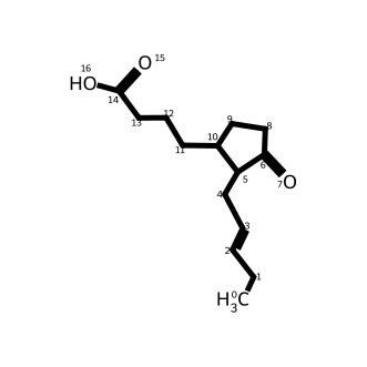 CCC=CCC1C(=O)CCC1CCCC(=O)O